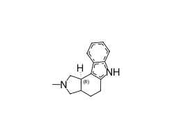 CN1CC2CCc3[nH]c4ccccc4c3[C@@H]2C1